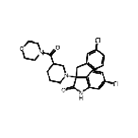 O=C(C1CCCN(C2(Cc3cccc(Cl)c3)C(=O)Nc3cc(Cl)ccc32)C1)N1CCOCC1